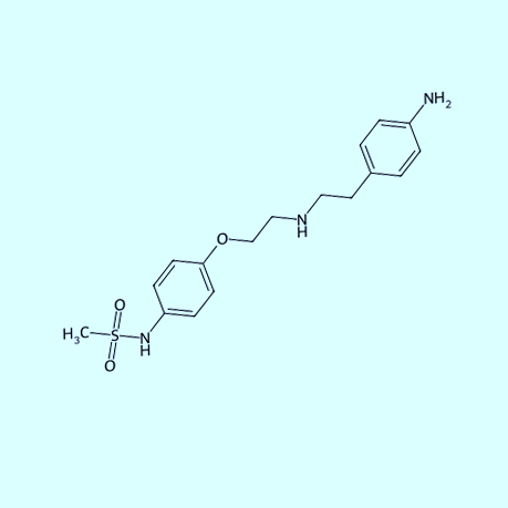 CS(=O)(=O)Nc1ccc(OCCNCCc2ccc(N)cc2)cc1